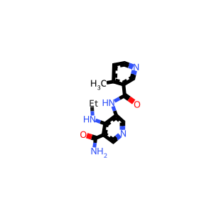 CCNc1c(NC(=O)c2cnccc2C)cncc1C(N)=O